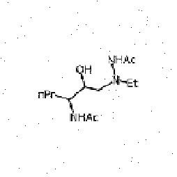 CCCC(NC(C)=O)C(O)CN(CC)NC(C)=O